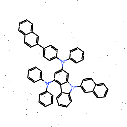 c1ccc(N(c2ccc(-c3ccc4ccccc4c3)cc2)c2cc(N(c3ccccc3)c3ccccc3)c3c4ccccc4n(-c4ccc5ccccc5c4)c3c2)cc1